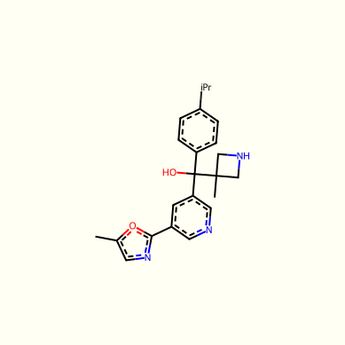 Cc1cnc(-c2cncc(C(O)(c3ccc(C(C)C)cc3)C3(C)CNC3)c2)o1